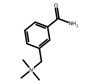 C[N+](C)(C)Cc1cccc(C(N)=O)c1